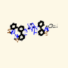 CCCCCCCCN1CSc2cccc(-c3ccccc3Nc3ncnc(Nc4ccc(-c5cccc6scnc56)cc4-c4cccc5scnc45)n3)c21